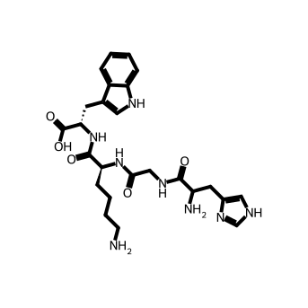 NCCCC[C@H](NC(=O)CNC(=O)C(N)Cc1c[nH]cn1)C(=O)N[C@@H](Cc1c[nH]c2ccccc12)C(=O)O